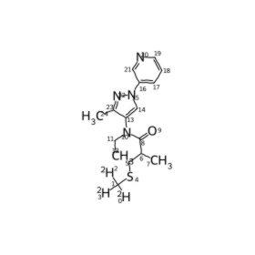 [2H]C([2H])([2H])SCC(C)C(=O)N(CC)c1cn(-c2cccnc2)nc1C